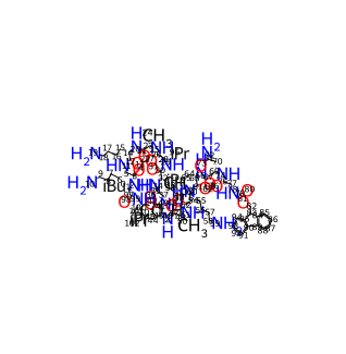 CC[C@H](C)[C@H](NC(=O)[C@H](CCCCN)NC(=O)[C@H](CCCCN)NC(=O)[C@H](C)NC(=O)[C@@H](NC(=O)[C@H](C)NC(=O)[C@H](CC(C)C)NC(=O)[C@H](CC(C)C)NC(=O)[C@H](C)NC(=O)[C@H](CCCCN)NC(=O)[C@H](CC(C)C)NC(=O)[C@H](CC(N)=O)NC(=O)CNC(=O)OCC1c2ccccc2-c2ccccc21)C(C)C)C(=O)N[C@@H](CC(C)C)C(=O)O